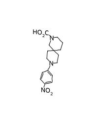 O=C(O)N1CCCC2(CCN(c3ccc([N+](=O)[O-])cc3)CC2)C1